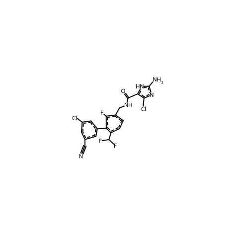 N#Cc1cc(Cl)cc(-c2c(C(F)F)ccc(CNC(=O)c3[nH]c(N)nc3Cl)c2F)c1